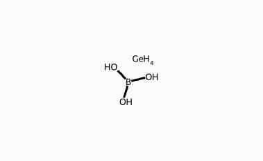 OB(O)O.[GeH4]